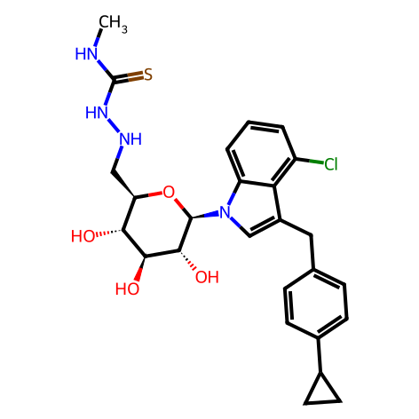 CNC(=S)NNC[C@H]1O[C@@H](n2cc(Cc3ccc(C4CC4)cc3)c3c(Cl)cccc32)[C@H](O)[C@@H](O)[C@@H]1O